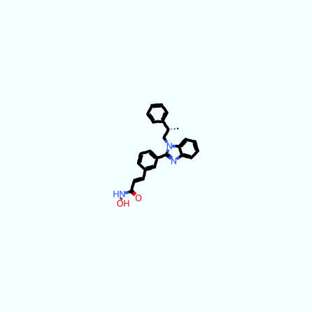 C[C@H](Cn1c(-c2cccc(/C=C/C(=O)NO)c2)nc2ccccc21)c1ccccc1